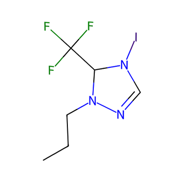 CCCN1N=CN(I)C1C(F)(F)F